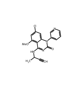 C#CC(C)Nc1nc(=O)n(-c2cccnc2)c2cc(Cl)cc(OC)c12